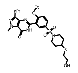 CCCc1nn(C)c2c(=O)[nH]c(-c3cc(S(=O)(=O)N4CCC(SCCO)CC4)ccc3OCC)nc12